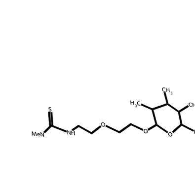 CCC1OC(OCCOCCNC(=S)NC)C(C)C(C)C1C